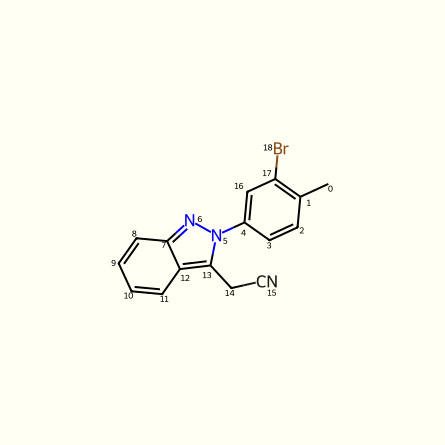 Cc1ccc(-n2nc3ccccc3c2CC#N)cc1Br